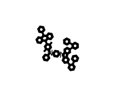 Cc1cc(N(c2ccccc2)c2ccc(-n3c4ccc(-c5ccccc5-c5ccccc5)cc4c4cc(-c5ccccc5-c5ccccc5)ccc43)cc2)c(C)cc1-c1c2ccccc2c(-c2ccccc2)c2ccccc12